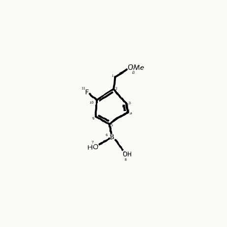 COCc1ccc(B(O)O)cc1F